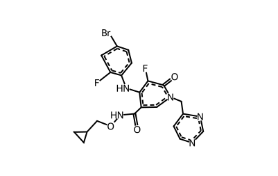 O=C(NOCC1CC1)c1cn(Cc2ccncn2)c(=O)c(F)c1Nc1ccc(Br)cc1F